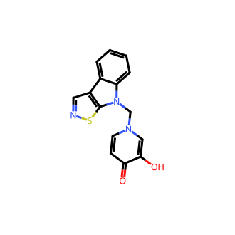 O=c1ccn(Cn2c3ccccc3c3cnsc32)cc1O